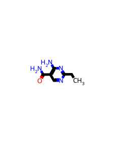 CCc1ncc(C(N)=O)c(N)n1